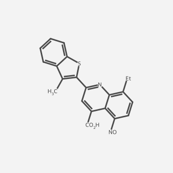 CCc1ccc(N=O)c2c(C(=O)O)cc(-c3sc4ccccc4c3C)nc12